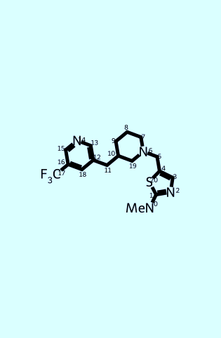 CNc1ncc(CN2CCCC(Cc3cncc(C(F)(F)F)c3)C2)s1